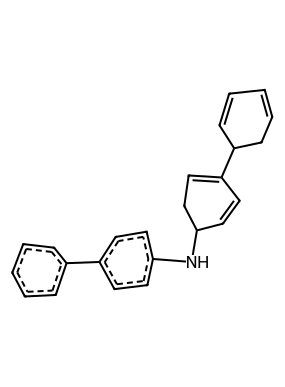 C1=CCC(C2=CCC(Nc3ccc(-c4ccccc4)cc3)C=C2)C=C1